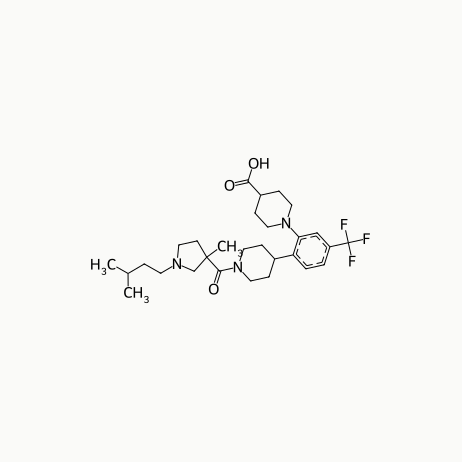 CC(C)CCN1CCC(C)(C(=O)N2CCC(c3ccc(C(F)(F)F)cc3N3CCC(C(=O)O)CC3)CC2)C1